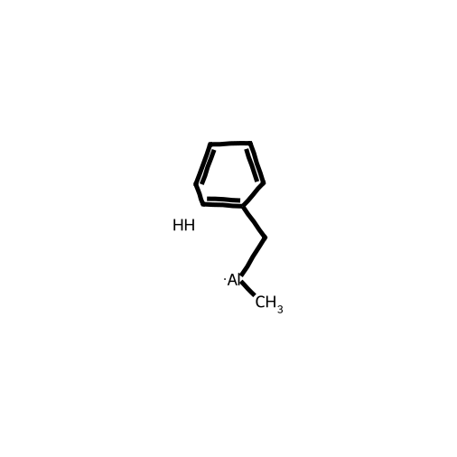 [CH3][Al][CH2]c1ccccc1.[HH]